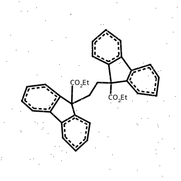 CCOC(=O)C1(CCC2(C(=O)OCC)c3ccccc3-c3ccccc32)c2ccccc2-c2ccccc21